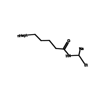 CCCCCCCCCCCC(=O)N[CH]([Na])CC